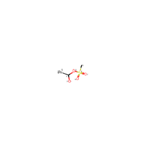 CC(C)C([O])OS(C)(=O)=O